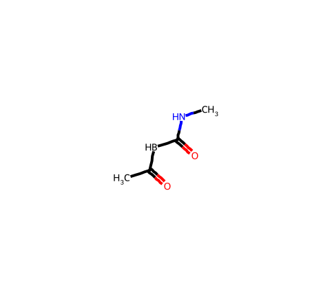 CNC(=O)BC(C)=O